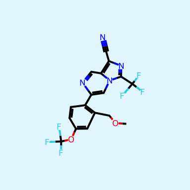 COCc1cc(OC(F)(F)F)ccc1-c1cn2c(C(F)(F)F)nc(C#N)c2cn1